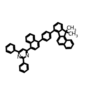 CC1(C)c2cccc(-c3ccc(-c4ccc(-c5cc(-c6ccccc6)nc(-c6ccccc6)n5)c5ccccc45)cc3)c2-c2ccc3ccccc3c21